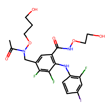 CC(=O)N(Cc1cc(C(=O)NOCCO)c(Nc2ccc(I)cc2F)c(F)c1F)OCCCO